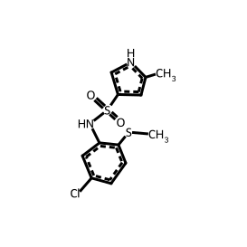 CSc1ccc(Cl)cc1NS(=O)(=O)c1c[nH]c(C)c1